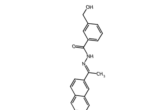 C/C(=N\NC(=O)c1cccc(CO)c1)c1ccc2ccccc2c1